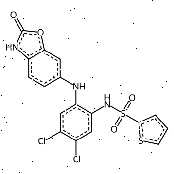 O=c1[nH]c2ccc(Nc3cc(Cl)c(Cl)cc3NS(=O)(=O)c3cccs3)cc2o1